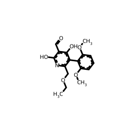 CCOCc1nc(O)c(C=O)c(O)c1-c1c(OC)cccc1OC